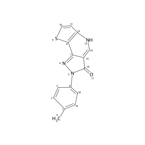 Cc1ccc(-n2nc3c4sccc4[nH]cc-3c2=O)cc1